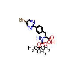 CC(C)(C)OC(=O)N[C@@H](Cc1ccc(-c2ncc(Br)cn2)cc1)C(=O)O